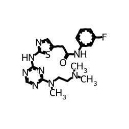 CN(C)CCN(C)c1ncnc(Nc2ncc(CC(=O)Nc3cccc(F)c3)s2)n1